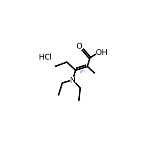 CC/C(=C(/C)C(=O)O)N(CC)CC.Cl